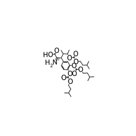 CC(C)CCOC(=O)Oc1ccc(C(C(C)C(C)OC(=O)OCCC(C)C)[C@H](N)C(=O)O)cc1OC(=O)OCCC(C)C